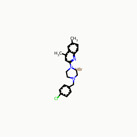 Br.Cc1ccc2nc(N3CCN(Cc4ccc(Cl)cc4)CC3)cc(C)c2c1